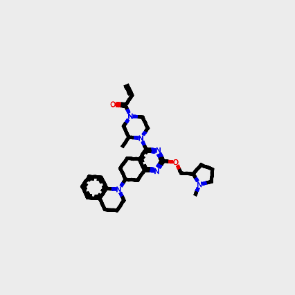 C=CC(=O)N1CCN(c2nc(OCC3CCCN3C)nc3c2CCC(N2CCCc4ccccc42)C3)C(C)C1